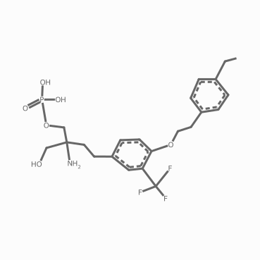 CCc1ccc(CCOc2ccc(CCC(N)(CO)COP(=O)(O)O)cc2C(F)(F)F)cc1